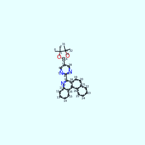 CC1(C)OB(c2cnc(-c3nc4ccccc4c4c3ccc3ccccc34)nc2)OC1(C)C